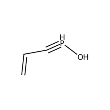 C=CC#[PH]O